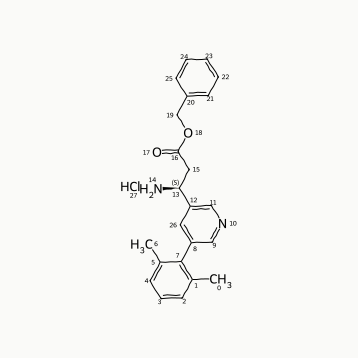 Cc1cccc(C)c1-c1cncc([C@@H](N)CC(=O)OCc2ccccc2)c1.Cl